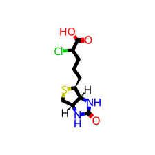 O=C1N[C@H]2[C@H](CS[C@H]2CCCC(Cl)C(=O)O)N1